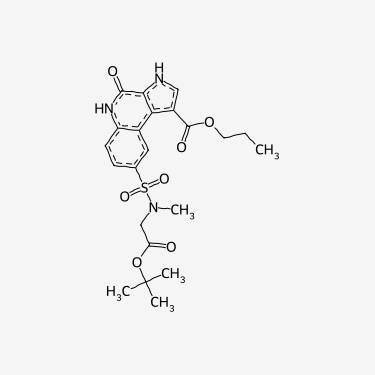 CCCOC(=O)c1c[nH]c2c(=O)[nH]c3ccc(S(=O)(=O)N(C)CC(=O)OC(C)(C)C)cc3c12